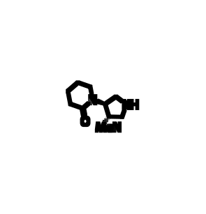 CN[C@H]1CNC[C@@H]1N1CCCCC1=O